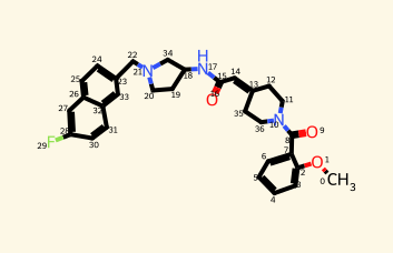 COc1ccccc1C(=O)N1CCC(=CC(=O)NC2CCN(Cc3ccc4cc(F)ccc4c3)C2)CC1